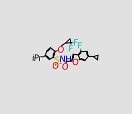 CC(C)c1ccc(OCC2CC2(F)F)c([S+]([O-])NC(=O)c2cc3c(F)cc(C4CC4)cc3o2)c1